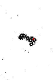 O=P(c1ccccc1)(c1ccccc1)c1ccc(-c2ccc(-c3ccc4ccc5cccnc5c4n3)cc2)c2ccccc12